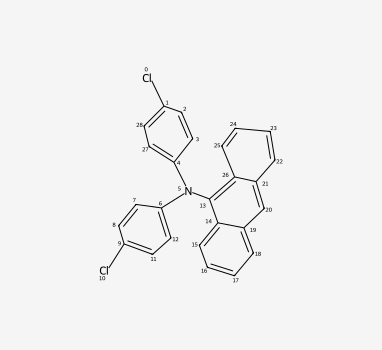 Clc1ccc(N(c2ccc(Cl)cc2)c2c3ccccc3cc3ccccc23)cc1